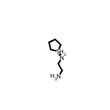 NCCN=[SH2]1CCCC1